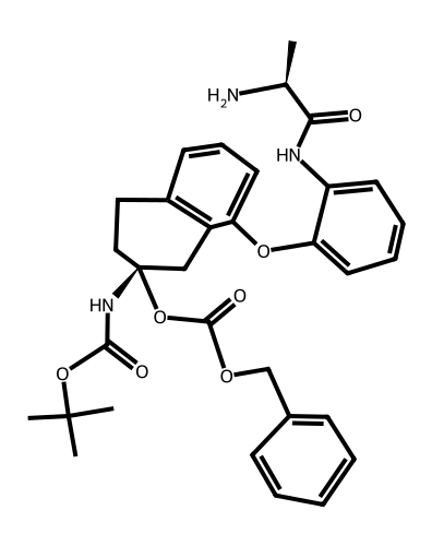 C[C@H](N)C(=O)Nc1ccccc1Oc1cccc2c1C[C@](NC(=O)OC(C)(C)C)(OC(=O)OCc1ccccc1)CC2